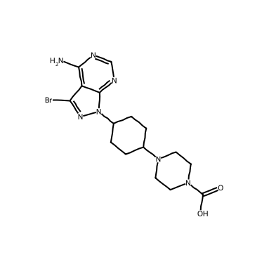 Nc1ncnc2c1c(Br)nn2C1CCC(N2CCN(C(=O)O)CC2)CC1